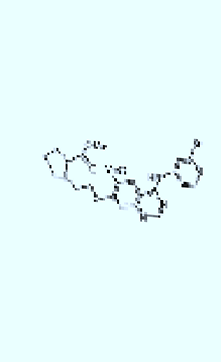 COC(=O)C1CCCN1CCOc1cc2ncnc(Nc3cccc(Br)c3)c2cc1OC